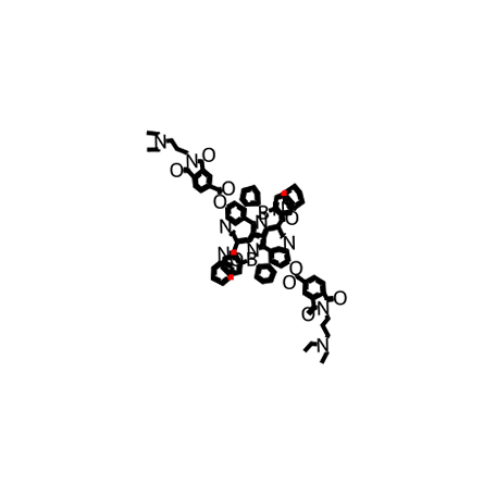 CCN(CC)CCCN1C(=O)c2ccc(C(=O)Oc3ccc(-c4c5/c(=C(\C#N)c6nc7ccccc7o6)n(B(c6ccccc6)c6ccccc6)c(-c6ccc(OC(=O)c7ccc8c(c7)C(=O)N(CCCN(CC)CC)C8=O)cc6)c5/c(=C(\C#N)c5nc6ccccc6o5)n4B(c4ccccc4)c4ccccc4)cc3)cc2C1=O